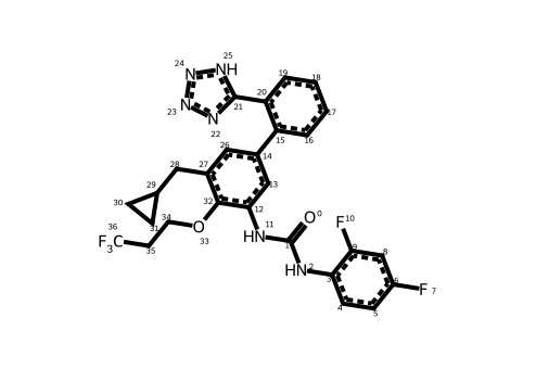 O=C(Nc1ccc(F)cc1F)Nc1cc(-c2ccccc2-c2nnn[nH]2)cc(CC2CC2)c1OCCC(F)(F)F